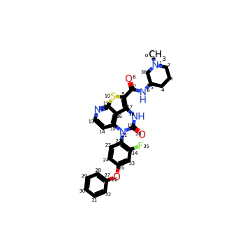 CN1CCCC(NC(=O)c2sc3nccc4c3c2NC(=O)N4c2ccc(Oc3ccccc3)cc2F)C1